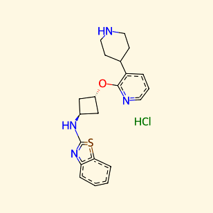 Cl.c1cnc(O[C@H]2C[C@H](Nc3nc4ccccc4s3)C2)c(C2CCNCC2)c1